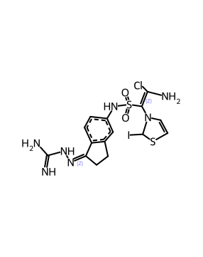 N=C(N)N/N=C1/CCc2cc(NS(=O)(=O)/C(=C(/N)Cl)N3C=CSC3I)ccc21